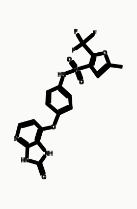 Cc1cc(S(=O)(=O)Nc2ccc(Oc3ccnc4[nH]c(=O)[nH]c34)cc2)c(C(F)(F)F)o1